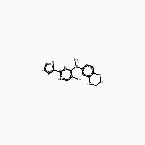 CN(c1ccc2c(c1)OCCO2)c1nc(-c2ccco2)ncc1F